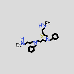 CCNCCCCN(CCCCN(Cc1ccccc1)CC1SC1CCNCC)Cc1ccccc1